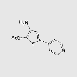 CC(=O)Oc1sc(-c2ccncc2)cc1N